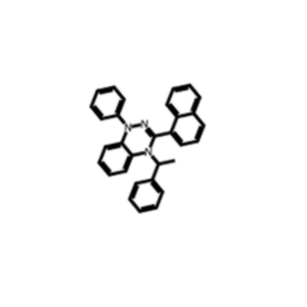 CC(c1ccccc1)N1C(c2cccc3ccccc23)=NN(c2ccccc2)c2ccccc21